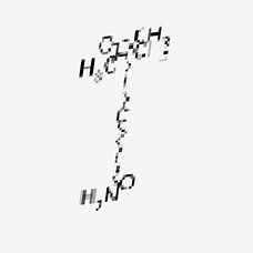 CC1=C(CCCCCCCCCCCCCCC(N)=O)C(C)(C)CC1=O